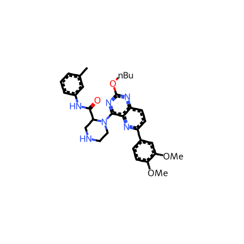 CCCCOc1nc(N2CCNCC2C(=O)Nc2cccc(C)c2)c2nc(-c3ccc(OC)c(OC)c3)ccc2n1